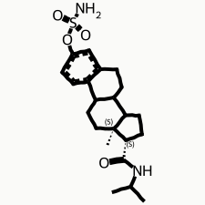 CC(C)NC(=O)[C@H]1CCC2C3CCc4cc(OS(N)(=O)=O)ccc4C3CC[C@@]21C